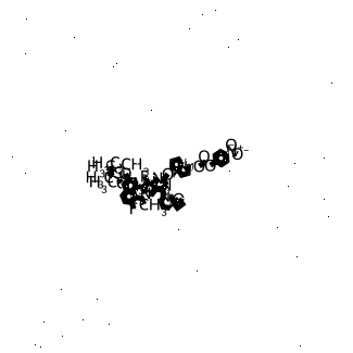 CCc1c(F)ccc2cc(O[Si](C(C)C)(C(C)C)C(C)C)cc(-c3ncc4c(N5CCC[C@@]6(CCO6)C5)nc(OC[C@@]56CCCN5[C@H](COC(=O)Oc5ccc([N+](=O)[O-])cc5)CC6)nc4c3F)c12